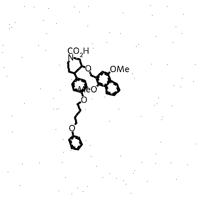 COc1cc(COC2CN(C(=O)O)CCC2c2ccc(OCCCCOc3ccccc3)cc2)c(OC)c2ccccc12